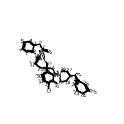 C=C(Cc1ccccc1)N1CCCC(CCN2CCC(CC3=CCCC=C3)CC2)(c2ccc(C)c(C)c2)C1